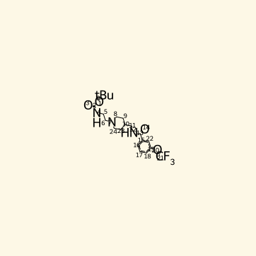 CC(C)(C)OC(=O)NCCN1CCC(CNC(=O)c2cccc(OC(F)(F)F)c2)CC1